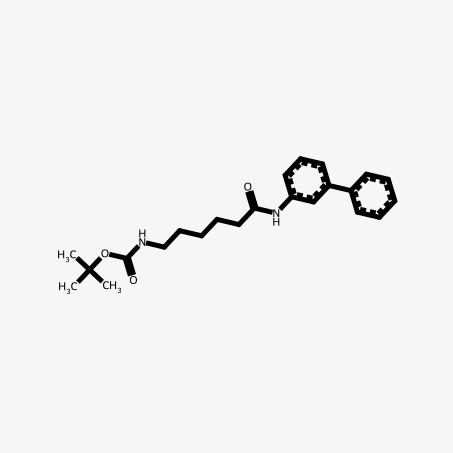 CC(C)(C)OC(=O)NCCCCCC(=O)Nc1cccc(-c2ccccc2)c1